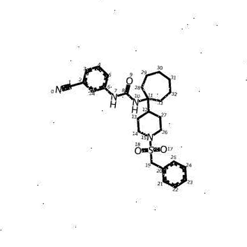 N#Cc1cccc(NC(=O)NC2(C3CCN(S(=O)(=O)Cc4ccccc4)CC3)CCCCCC2)c1